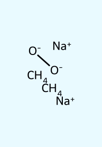 C.C.[Na+].[Na+].[O-][O-]